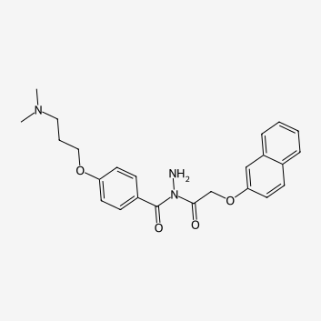 CN(C)CCCOc1ccc(C(=O)N(N)C(=O)COc2ccc3ccccc3c2)cc1